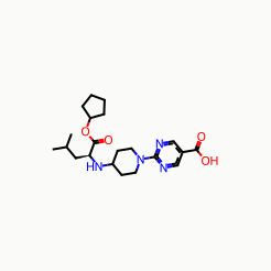 CC(C)C[C@H](NC1CCN(c2ncc(C(=O)O)cn2)CC1)C(=O)OC1CCCC1